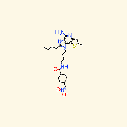 CCCCc1nc2c(N)nc3cc(C)sc3c2n1CCCCNC(=O)C1CCC(C[N+](=O)[O-])CC1